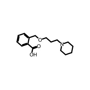 O=C(O)c1ccccc1COCCCN1CCCCC1